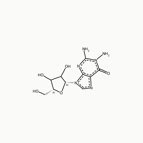 Nc1nc2c(ncn2[C@@H]2O[C@H](CO)C(O)C2O)c(=O)n1N